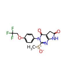 C[S+]([O-])c1nc2c(c(=O)n1-c1ccc(OCC(F)(F)F)cc1)CC(=O)N2